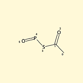 CC(=O)SP=O